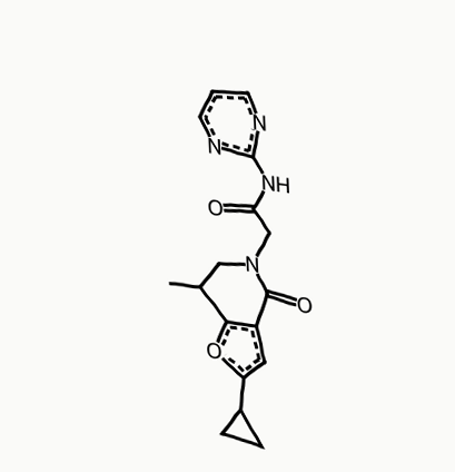 CC1CN(CC(=O)Nc2ncccn2)C(=O)c2cc(C3CC3)oc21